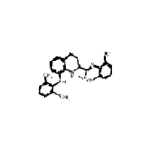 C/C(=N\c1c(C(C)C)cccc1C(C)C)C1CCc2cccc(Nc3c(C)cccc3C)c2N1